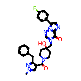 Cn1cc(C(=O)N2CCC(O)(Cn3cnn4c(-c5ccc(F)cc5)cnc4c3=O)CC2)c(Cc2ccccc2)n1